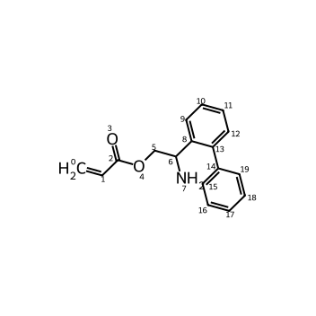 C=CC(=O)OCC(N)c1ccccc1-c1ccccc1